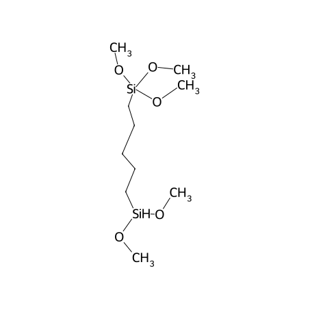 CO[SiH](CCCCC[Si](OC)(OC)OC)OC